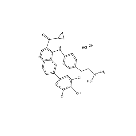 CN(C)CCc1ccc(Nc2c(C(=O)C3CC3)cnc3ccc(-c4cc(Cl)c(O)c(Cl)c4)cc23)cc1.Cl.Cl